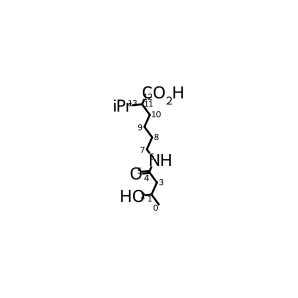 CC(O)CC(=O)NCCCCC(C(=O)O)C(C)C